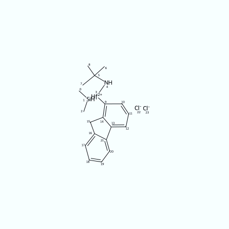 C[SiH](C)[Hf+2]([NH]C(C)(C)C)[c]1cccc2c1Cc1ccccc1-2.[Cl-].[Cl-]